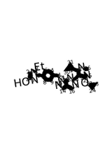 CCn1cc(O)nc1-c1ccc(Cn2ncc3cnc(-c4c(OC5CC5)ncnc4C4CC4)nc32)cc1